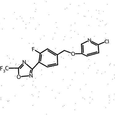 Fc1cc(COc2ccc(Cl)nc2)ccc1-c1noc(C(F)(F)F)n1